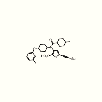 Cc1cccc(O[C@H]2CC[C@H](N(C(=O)C3CCC(C)CC3)c3cc(C#CC(C)(C)C)sc3C(=O)O)CC2)n1